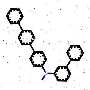 CN(c1ccc(-c2ccc(-c3ccccc3)cc2)cc1)c1cccc(-c2ccccc2)c1